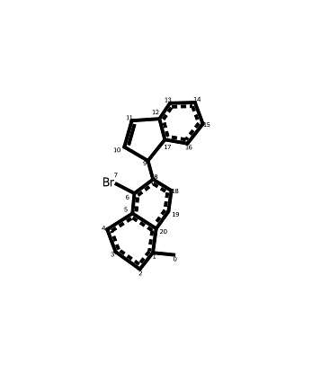 Cc1cccc2c(Br)c(C3C=Cc4ccccc43)ccc12